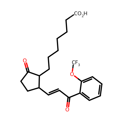 O=C(O)CCCCCCC1C(=O)CCC1C=CC(=O)c1ccccc1OC(F)(F)F